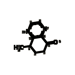 CC1CCC(=O)c2nccnc21